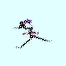 CCCCCCCCCCCCCCCCCCCCCCOc1cc(CC(CC(=O)O)(C(=O)O)[C@@]2(/P=[O+]/CCC#N)C[C@H](n3cc(C)c(=O)[nH]c3=O)O[C@@H]2CO)cc(OCCCCCCCCCCCCCCCCCCCCCC)c1.COc1ccc(C(OC[C@@H]2CC[C@H](n3cc(C)c(=O)[nH]c3=O)O2)(c2ccccc2)c2ccc(OC)cc2)cc1